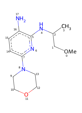 COCC(C)Nc1nc(N2CCOCC2)ccc1N